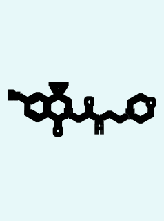 O=C(CN1CC2(CC2)c2cc(Br)ccc2C1=O)NCCN1CCOCC1